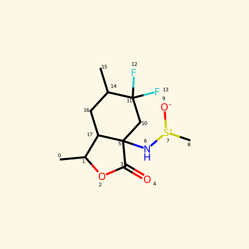 CC1OC(=O)C2(N[S+](C)[O-])CC(F)(F)C(C)CC12